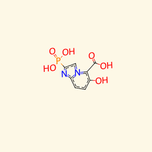 O=C(O)c1c(O)ccc2nc(P(=O)(O)O)cn12